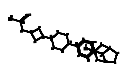 CCN1CC2CCC(C1)N2c1ncc(C2CCN(C3CC(CC(=O)C(C)C)C3)CC2)cn1